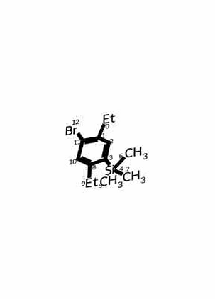 CCc1cc([Si](C)(C)C)c(CC)cc1Br